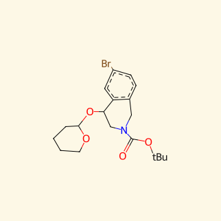 CC(C)(C)OC(=O)N1Cc2ccc(Br)cc2C(OC2CCCCO2)C1